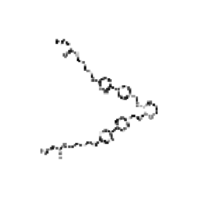 C=CC(=O)OCCCCOc1ccc(-c2ccc(CO[C@@H]3OCCO[C@H]3OCc3ccc(-c4ccc(OCCCCOC(=O)C=C)cn4)cc3)cc2)nc1